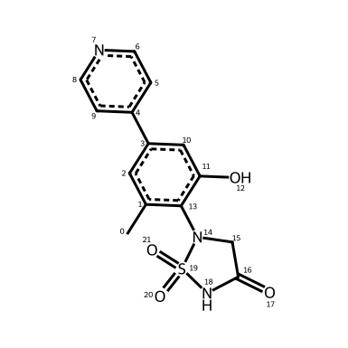 Cc1cc(-c2ccncc2)cc(O)c1N1CC(=O)NS1(=O)=O